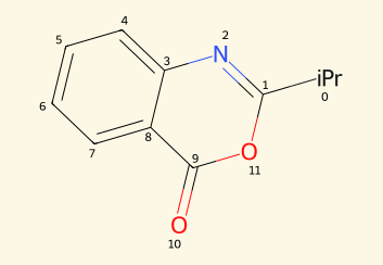 CC(C)c1nc2ccccc2c(=O)o1